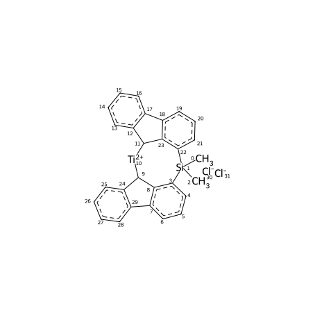 C[Si]1(C)c2cccc3c2[CH]([Ti+2][CH]2c4ccccc4-c4cccc1c42)c1ccccc1-3.[Cl-].[Cl-]